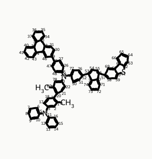 Cc1cc(N(c2ccccc2)c2ccccc2)ccc1-c1ccc(N(c2ccc(-c3ccc4c5ccccc5c5ccccc5c4c3)cc2)c2ccc(-c3ccc(-c4ccc5sc6ccccc6c5c4)c4ccccc34)cc2)cc1C